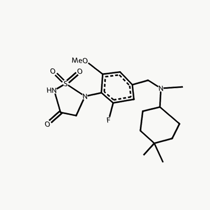 COc1cc(CN(C)C2CCC(C)(C)CC2)cc(F)c1N1CC(=O)NS1(=O)=O